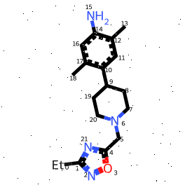 CCc1noc(CN2CCC(c3cc(C)c(N)cc3C)CC2)n1